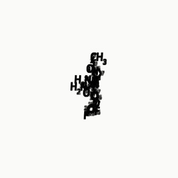 CC=CC(=O)N1CCC[C@@H](n2nc(-c3ccc(Oc4ccc(F)cc4F)cc3)c(C(N)=O)c2N)C1